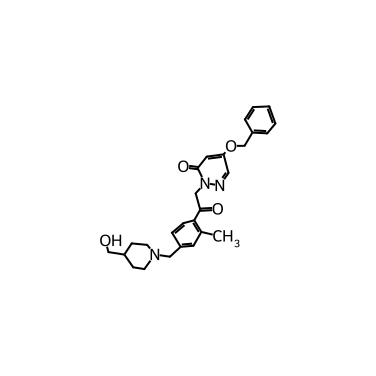 Cc1cc(CN2CCC(CO)CC2)ccc1C(=O)Cn1ncc(OCc2ccccc2)cc1=O